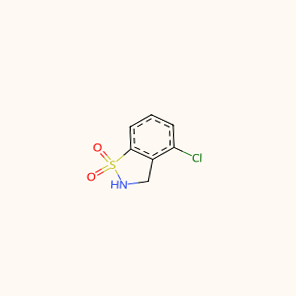 O=S1(=O)NCc2c(Cl)cccc21